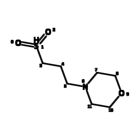 O=[SH](=O)CCCN1CCOCC1